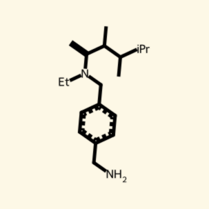 C=C(C(C)C(C)C(C)C)N(CC)Cc1ccc(CN)cc1